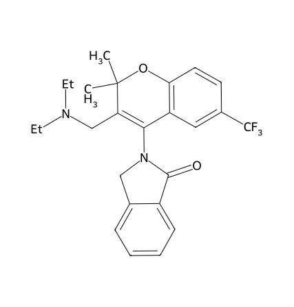 CCN(CC)CC1=C(N2Cc3ccccc3C2=O)c2cc(C(F)(F)F)ccc2OC1(C)C